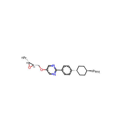 CCCCC[C@H]1CC[C@H](c2ccc(-c3ncc(OC[C@@H]4O[C@@H]4CCC)cn3)cc2)CC1